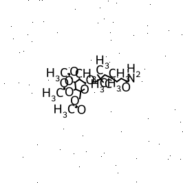 CCC(C)(COC1OC(COC(C)=O)C(OC(C)=O)C(OC(C)=O)C1C)CC(C)(C)CCC(N)=O